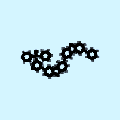 O=P(c1ccccc1)(c1ccccc1)c1cncc(-c2ccc3sc4ccc(-c5ccc6oc7ccc(-c8ccccc8)cc7c6c5)cc4c3c2)c1